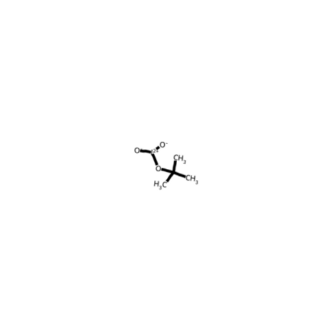 CC(C)(C)O[I+2]([O-])[O-]